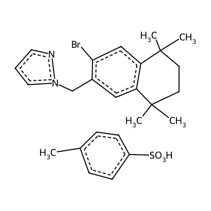 CC1(C)CCC(C)(C)c2cc(Cn3cccn3)c(Br)cc21.Cc1ccc(S(=O)(=O)O)cc1